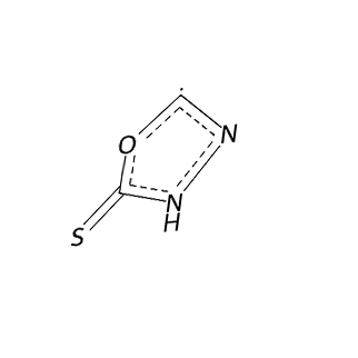 S=c1[nH]n[c]o1